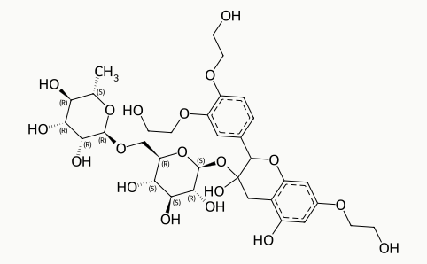 C[C@@H]1O[C@@H](OC[C@H]2O[C@@H](OC3(O)Cc4c(O)cc(OCCO)cc4OC3c3ccc(OCCO)c(OCCO)c3)[C@H](O)[C@@H](O)[C@@H]2O)[C@H](O)[C@H](O)[C@H]1O